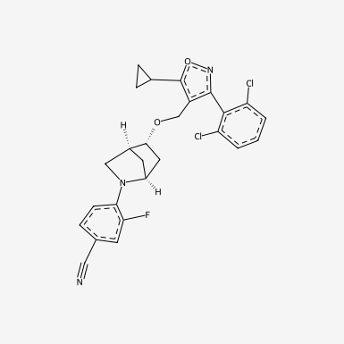 N#Cc1ccc(N2C[C@@H]3C[C@H]2C[C@H]3OCc2c(-c3c(Cl)cccc3Cl)noc2C2CC2)c(F)c1